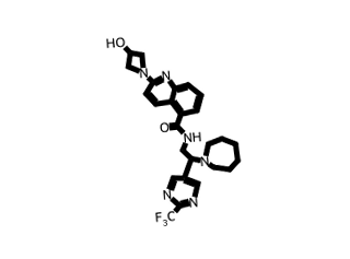 O=C(NCC(c1cnc(C(F)(F)F)nc1)N1CCCCCC1)c1cccc2nc(N3CC(O)C3)ccc12